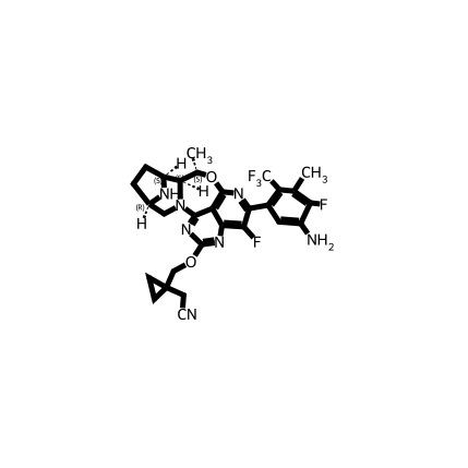 Cc1c(F)c(N)cc(-c2nc3c4c(nc(OCC5(CC#N)CC5)nc4c2F)N2C[C@H]4CC[C@H](N4)[C@H]2[C@H](C)O3)c1C(F)(F)F